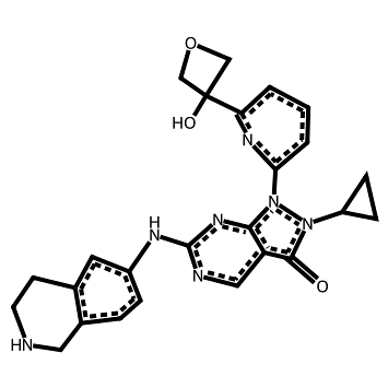 O=c1c2cnc(Nc3ccc4c(c3)CCNC4)nc2n(-c2cccc(C3(O)COC3)n2)n1C1CC1